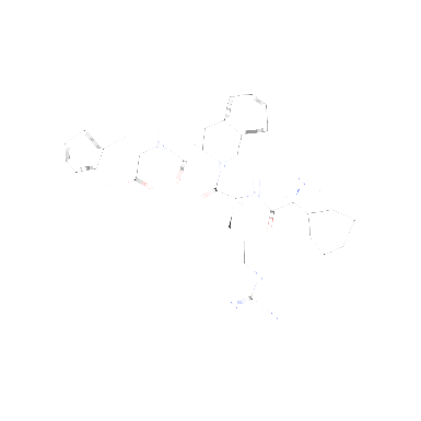 N=C(N)NCCC[C@H](NC(=O)[C@@H](N)C1CCCCC1)C(=O)N1Cc2ccccc2C[C@H]1C(=O)N[C@@H](Cc1ccccc1)C(=O)O